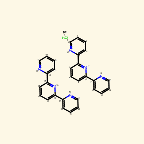 Cl.[Ru].c1ccc(-c2cccc(-c3ccccn3)n2)nc1.c1ccc(-c2cccc(-c3ccccn3)n2)nc1